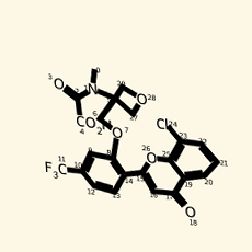 CN(C(=O)C(=O)O)C1(COc2cc(C(F)(F)F)ccc2-c2cc(=O)c3cccc(Cl)c3o2)COC1